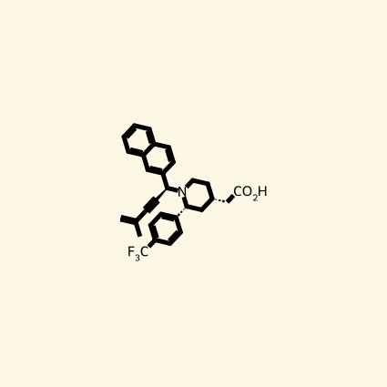 C=C(C)C#C[C@@H](c1ccc2ccccc2c1)N1CC[C@H](CC(=O)O)C[C@@H]1c1ccc(C(F)(F)F)cc1